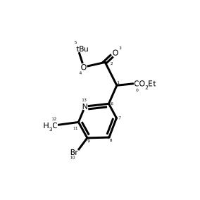 CCOC(=O)C(C(=O)OC(C)(C)C)c1ccc(Br)c(C)n1